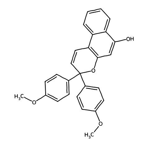 COc1ccc(C2(c3ccc(OC)cc3)C=Cc3c(cc(O)c4ccccc34)O2)cc1